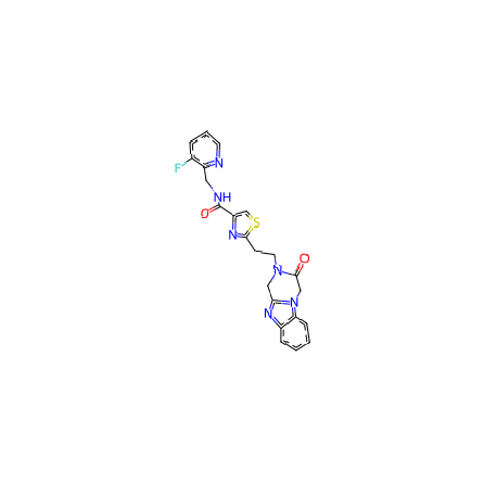 O=C(NCc1ncccc1F)c1csc(CCN2Cc3nc4ccccc4n3CC2=O)n1